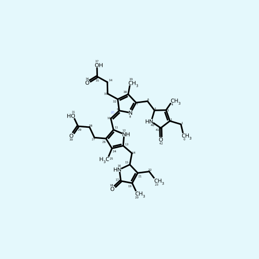 CCC1=C(C)C(CC2=N/C(=C\c3[nH]c(CC4NC(=O)C(C)=C4CC)c(C)c3CCC(=O)O)C(CCC(=O)O)=C2C)NC1=O